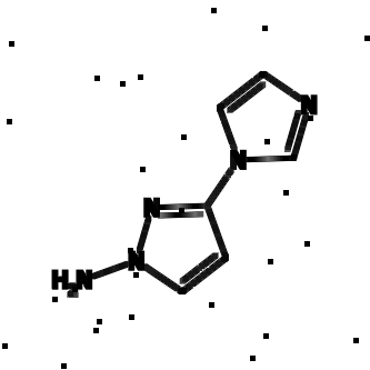 Nn1ccc(-n2ccnc2)n1